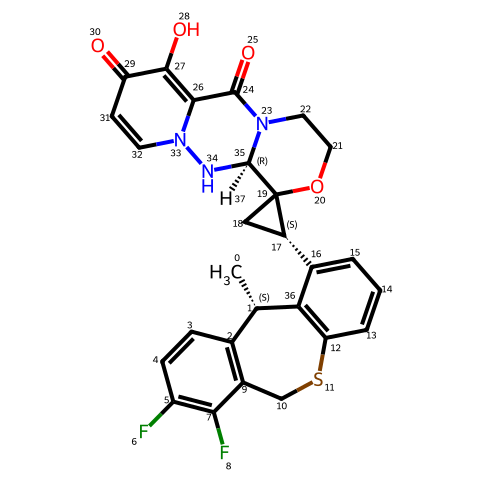 C[C@H]1c2ccc(F)c(F)c2CSc2cccc([C@@H]3CC34OCCN3C(=O)c5c(O)c(=O)ccn5N[C@@H]34)c21